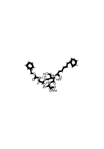 CCC[C@](NC(=O)CCCCCc1ccccc1)(C(=O)NC(C(=O)OC)C(C)C)C(CO)CNC(=O)[C@H](C)NC(=O)OCc1ccccc1